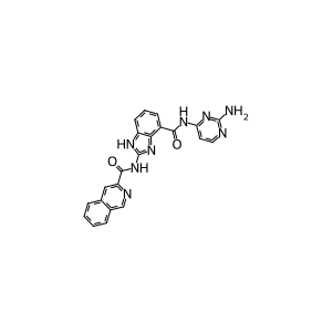 Nc1nccc(NC(=O)c2cccc3[nH]c(NC(=O)c4cc5ccccc5cn4)nc23)n1